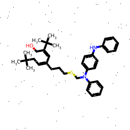 CC(C)(C)C/C=C(\C=C(/CO)C(C)(C)C)CCCSCN(c1ccccc1)c1ccc(Nc2ccccc2)cc1